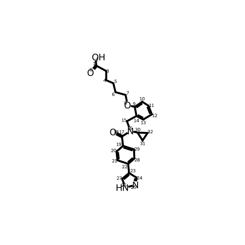 O=C(O)CCCCCOc1ccccc1CN(C(=O)c1ccc(-c2cn[nH]c2)cc1)C1CC1